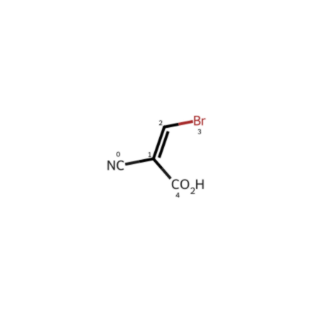 N#CC(=CBr)C(=O)O